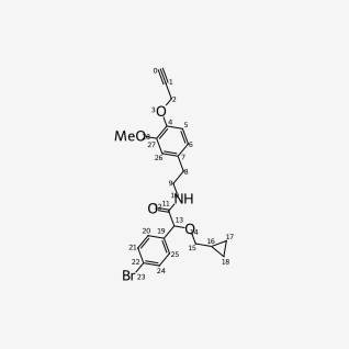 C#CCOc1ccc(CCNC(=O)C(OCC2CC2)c2ccc(Br)cc2)cc1OC